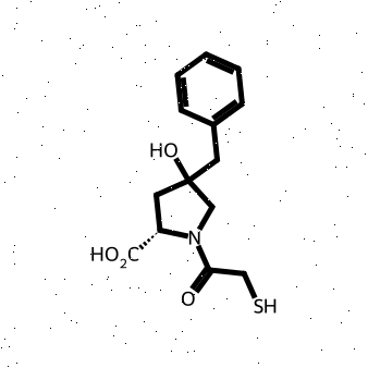 O=C(O)[C@@H]1CC(O)(Cc2ccccc2)CN1C(=O)CS